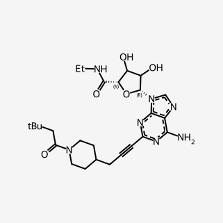 CCNC(=O)[C@H]1O[C@@H](n2cnc3c(N)nc(C#CCC4CCN(C(=O)CC(C)(C)C)CC4)nc32)C(O)C1O